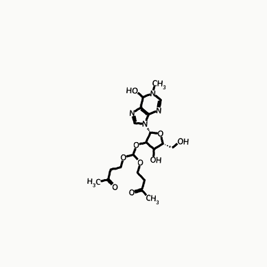 CC(=O)CCOC(OCCC(C)=O)OC1C(O)[C@@H](CO)O[C@H]1n1cnc2c1N=CN(C)C2O